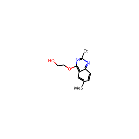 CCc1nc(OCCO)c2cc(SC)ccc2n1